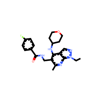 CCn1ncc2c(NC3CCOCC3)c(CNC(=O)c3ccc(F)cc3)c(C)nc21